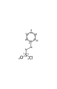 [O-][S+](Cl)CCc1ccccc1